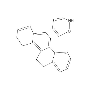 C1=CNOC=C1.C1=Cc2ccc3c(c2CC1)CCc1ccccc1-3